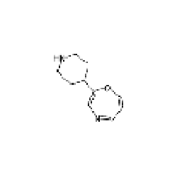 C1=COC(C2CCNCC2)=CN=C1